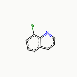 Brc1cc[c]c2cccnc12